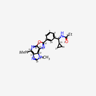 CCC(=O)NC(c1cccc(-c2nc3c(nc(NC)c4ncn(C)c43)o2)c1)C1CC1